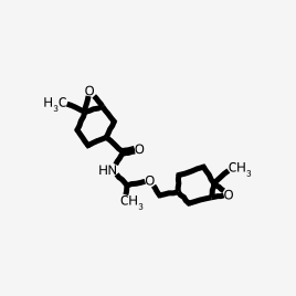 CC(NC(=O)C1CCC2(C)OC2C1)OCC1CCC2(C)OC2C1